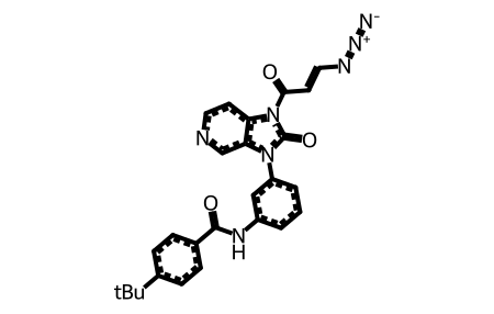 CC(C)(C)c1ccc(C(=O)Nc2cccc(-n3c(=O)n(C(=O)C=CN=[N+]=[N-])c4ccncc43)c2)cc1